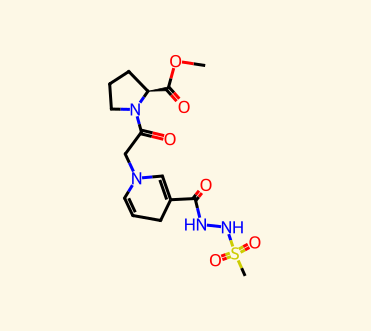 COC(=O)[C@@H]1CCCN1C(=O)CN1C=CCC(C(=O)NNS(C)(=O)=O)=C1